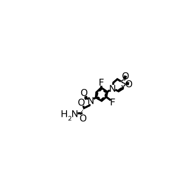 NC(=O)[C@H]1CN(c2cc(F)c(N3C=CS(=O)(=O)CC3)c(F)c2)C(=O)O1